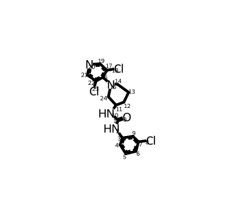 O=C(Nc1cccc(Cl)c1)NC1CCCN(c2c(Cl)cncc2Cl)C1